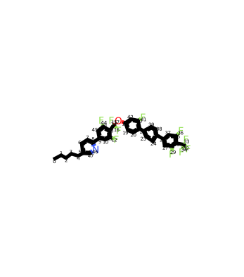 CCCCCc1ccc(-c2cc(F)c(C(F)(F)Oc3ccc(-c4ccc(-c5cc(F)c(C(F)(F)F)c(F)c5)cc4)c(F)c3)c(F)c2)nc1